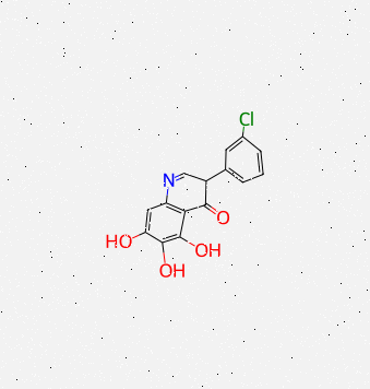 O=C1c2c(cc(O)c(O)c2O)N=CC1c1cccc(Cl)c1